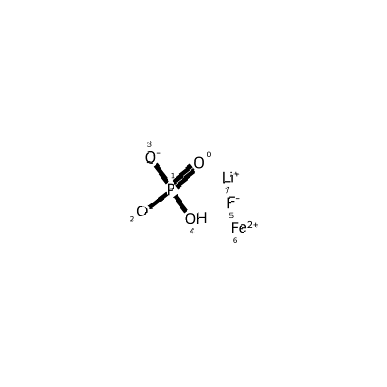 O=P([O-])([O-])O.[F-].[Fe+2].[Li+]